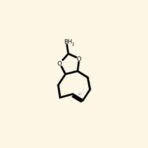 BC1OC2CC/C=C/CCC2O1